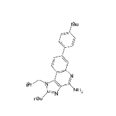 CCCCc1nc2c(N)nc3cc(-c4ccc(C(C)(C)C)cc4)ccc3c2n1CC(C)C